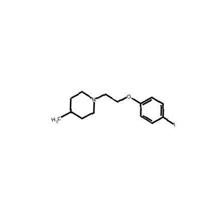 CC1CCN(CCOc2ccc(I)cc2)CC1